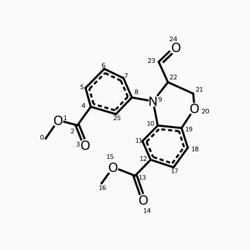 COC(=O)c1cccc(N2c3cc(C(=O)OC)ccc3OCC2C=O)c1